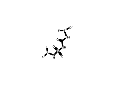 O=C(N[S+]([O-])F)NS(=O)(=O)N[S+]([O-])F